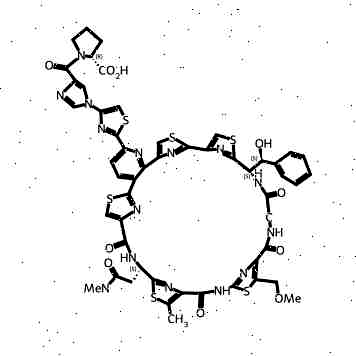 CNC(=O)C[C@@H]1NC(=O)c2csc(n2)-c2ccc(-c3nc(-n4cnc(C(=O)N5CCC[C@@H]5C(=O)O)c4)cs3)nc2-c2csc(n2)-c2csc(n2)[C@H]([C@@H](O)c2ccccc2)NC(=O)CNC(=O)c2nc(sc2COC)NC(=O)c2nc1sc2C